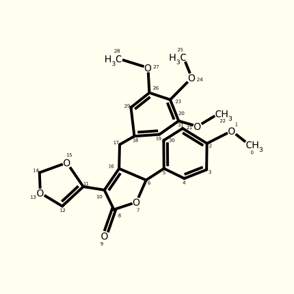 COc1ccc(C2OC(=O)C(C3=COCO3)=C2Cc2cc(OC)c(OC)c(OC)c2)cc1